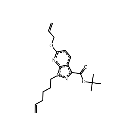 C=CCCCCn1nc(C(=O)OC(C)(C)C)c2ccc(OCC=C)nc21